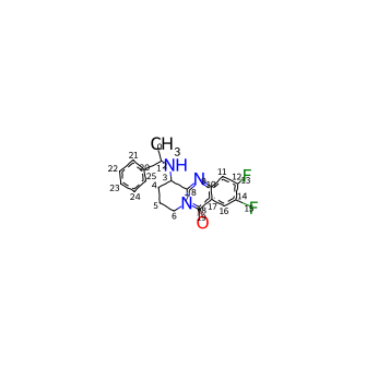 CC(NC1CCCn2c1nc1cc(F)c(F)cc1c2=O)c1ccccc1